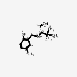 Cc1ccc(O)c(CN[C@H](CO)C(C)(C)C)c1